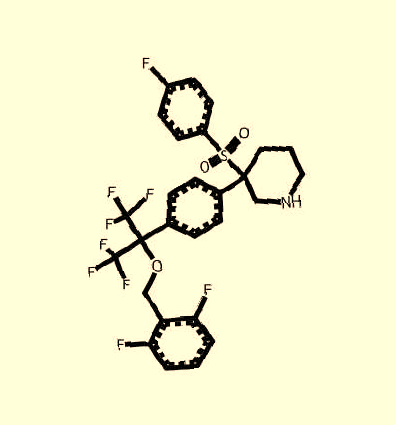 O=S(=O)(c1ccc(F)cc1)C1(c2ccc(C(OCc3c(F)cccc3F)(C(F)(F)F)C(F)(F)F)cc2)CCCNC1